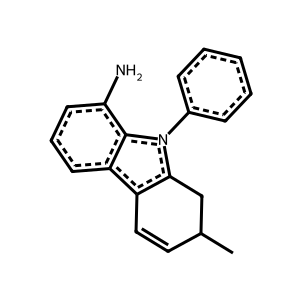 CC1C=Cc2c(n(-c3ccccc3)c3c(N)cccc23)C1